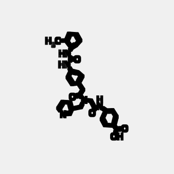 Cc1ccccc1NC(=O)Nc1ccc(CC(=O)N(CC(=O)Nc2ccc(C(=O)O)cc2)Cc2cccnc2)cc1